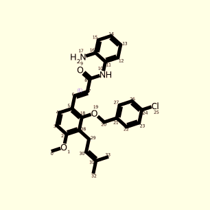 COc1ccc(/C=C/C(=O)Nc2ccccc2N)c(OCc2ccc(Cl)cc2)c1CC=C(C)C